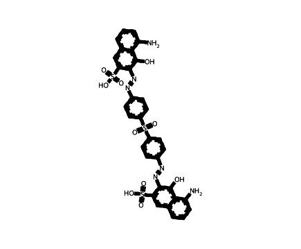 Nc1cccc2cc(S(=O)(=O)O)c(N=Nc3ccc(S(=O)(=O)c4ccc(N=Nc5c(S(=O)(=O)O)cc6cccc(N)c6c5O)cc4)cc3)c(O)c12